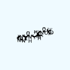 CC1(OC(=O)N2C[C@@H]3C(CCNC(=O)c4cnc5nccn5c4)[C@@H]3C2)COC1